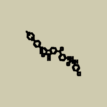 CN1CCN(c2ccc(NC=C3C(=O)Nc4cc(C(=O)c5cccc(NC(=O)Nc6ccc(Cl)cc6)c5)ccc43)cc2)CC1